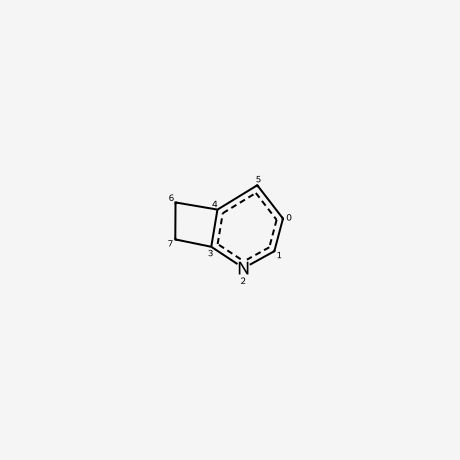 c1cnc2c(c1)CC2